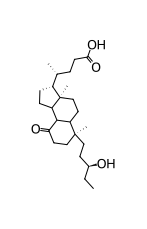 CC[C@H](O)CC[C@@]1(C)CCC(=O)C2C1CC[C@@]1(C)C2CC[C@@H]1[C@H](C)CCC(=O)O